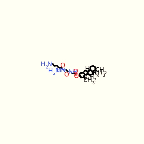 Cc1cc(OC(=O)CNC(=O)CNC(=O)C(N)CCCN)cc2c1[C@]1(C)CC[C@H]3C(C)(C)CCC[C@]3(C)[C@H]1C2